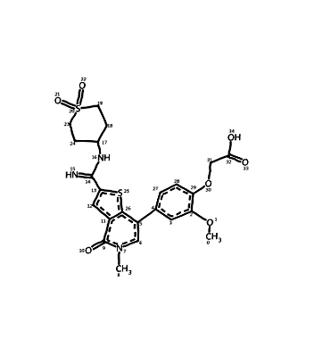 COc1cc(-c2cn(C)c(=O)c3cc(C(=N)NC4CCS(=O)(=O)CC4)sc23)ccc1OCC(=O)O